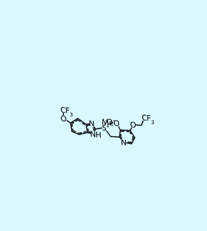 COc1c(OCC(F)(F)F)ccnc1C[S+]([O-])c1nc2cc(OC(F)(F)F)ccc2[nH]1